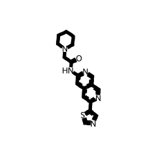 O=C(CN1CCCCC1)Nc1cc2cc(-c3cncs3)ncc2cn1